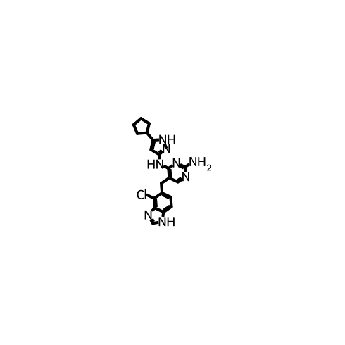 Nc1ncc(Cc2ccc3[nH]cnc3c2Cl)c(Nc2cc(C3CCCC3)[nH]n2)n1